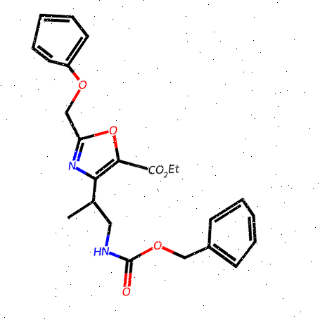 CCOC(=O)c1oc(COc2ccccc2)nc1C(C)CNC(=O)OCc1ccccc1